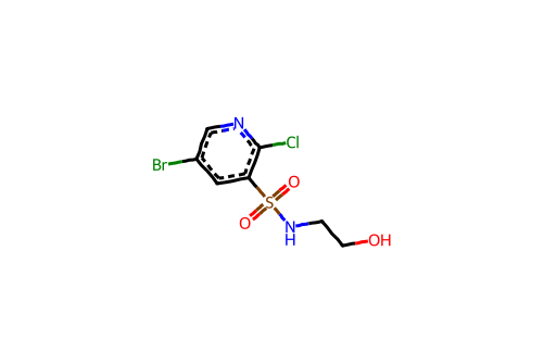 O=S(=O)(NCCO)c1cc(Br)cnc1Cl